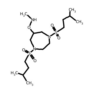 CNOC1CN(S(=O)(=O)CCC(C)C)CCN(S(=O)(=O)CCC(C)C)C1